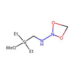 CC[Si](CC)(CNN1OCO1)OC